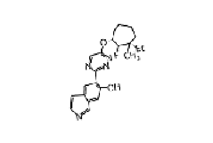 CC[C@@]1(C)CCCC[C@@H](Oc2cnc(-c3cc4ccncc4cc3O)nn2)[C@@H]1F